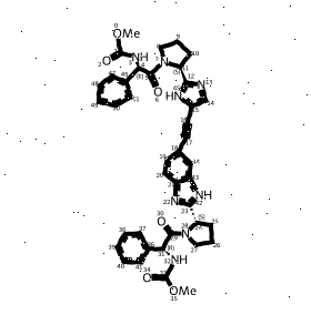 COC(=O)N[C@@H](C(=O)N1CCC[C@H]1c1ncc(C#Cc2ccc3nc([C@@H]4CCCN4C(=O)[C@H](NC(=O)OC)c4ccccc4)[nH]c3c2)[nH]1)c1ccccc1